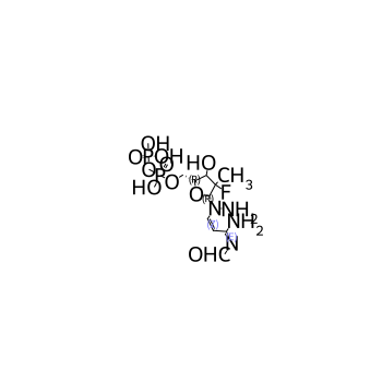 CC1(F)C(O)[C@@H](COP(=O)(O)OP(=O)(O)O)O[C@H]1N(N)/C=C\C(N)=N/C=O